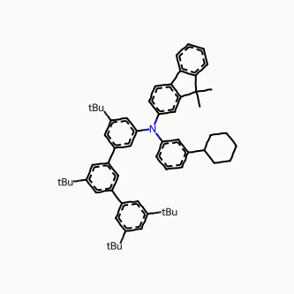 CC(C)(C)c1cc(-c2cc(N(c3cccc(C4CCCCC4)c3)c3ccc4c(c3)C(C)(C)c3ccccc3-4)cc(C(C)(C)C)c2)cc(-c2cc(C(C)(C)C)cc(C(C)(C)C)c2)c1